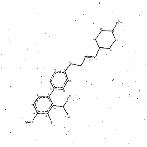 CCCC1CCC(/C=C/CCc2ccc(-c3ccc(OC)c(F)c3C(F)F)cc2)CC1